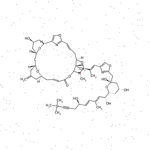 C=C1C[C@@H]2C[C@@H]3C[C@@H](O)C[C@@H](O3)c3coc(n3)/C=C/C[C@H]3O[C@@H](/C(C)=C/c4coc(C[C@]5(O)C[C@H](O)C[C@H]([C@H](O)/C=C(C)/C=C/[C@H](O)CC#C[Si](C)(C)C)O5)n4)[C@H](C)[C@@H](OC(=O)/C=C/C[C@@H](C1)O2)[C@H]3C